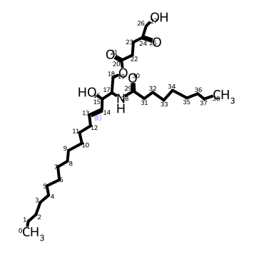 CCCCCCCCCCCCC/C=C/C(O)C(COC(=O)CCC(=O)CO)NC(=O)CCCCCCCC